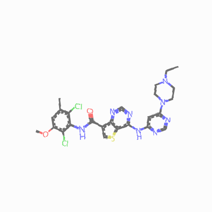 CCN1CCN(c2cc(Nc3ncnc4c(C(=O)Nc5c(Cl)c(C)cc(OC)c5Cl)csc34)ncn2)CC1